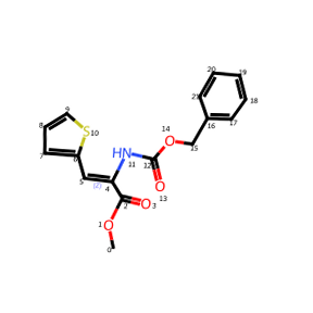 COC(=O)/C(=C/c1cccs1)NC(=O)OCc1ccccc1